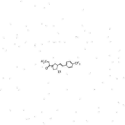 C=CC(=O)N1C[C@@H](CC)[C@H](/C=C/c2ccc(C(F)(F)F)cc2)C1